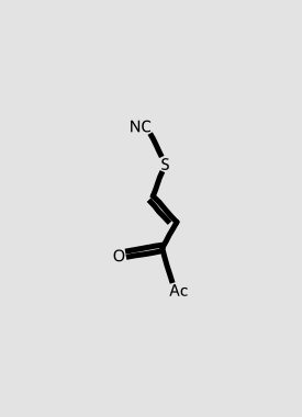 CC(=O)C(=O)C=CSC#N